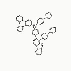 c1ccc(-c2ccc(-c3c(-c4ccc(N(c5ccc(-c6ccccc6)cc5)c5ccc6c7ccccc7c7ccccc7c6c5)cc4)ccc4c3sc3ccccc34)cc2)cc1